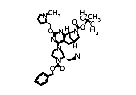 CN1CCC[C@H]1COc1nc2c(c(N3CCN(C(=O)OCc4ccccc4)[C@@H](CC#N)C3)n1)C[C@@H]1C[C@H]2N(C(=O)OC(C)(C)C)C1